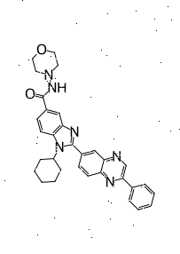 O=C(NN1CCOCC1)c1ccc2c(c1)nc(-c1ccc3nc(-c4ccccc4)cnc3c1)n2C1CCCCC1